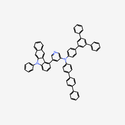 c1ccc(-c2ccc(-c3ccc(N(c4ccc(-c5cc(-c6ccccc6)cc(-c6ccccc6)c5)cc4)c4cncc(-c5cccc6c5c5cc7ccccc7cc5n6-c5ccccc5)c4)cc3)cc2)cc1